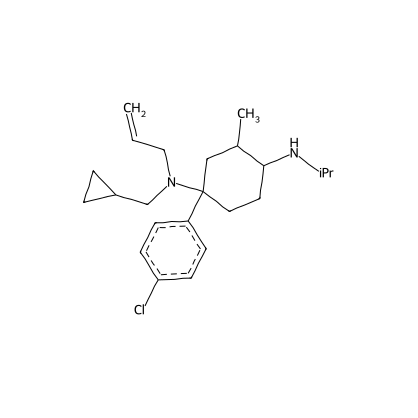 C=CCN(CC1CC1)C1(c2ccc(Cl)cc2)CCC(NC(C)C)C(C)C1